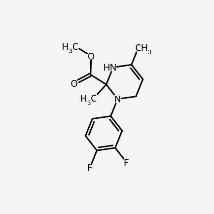 COC(=O)C1(C)NC(C)=CCN1c1ccc(F)c(F)c1